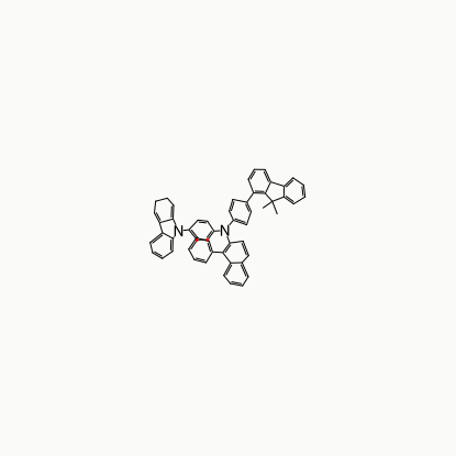 CC1(C)c2ccccc2-c2cccc(-c3ccc(N(c4ccc(-n5c6c(c7ccccc75)=CCCC=6)cc4)c4ccc5ccccc5c4-c4ccccc4)cc3)c21